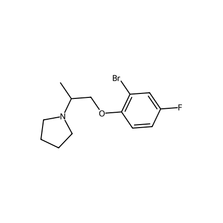 CC(COc1ccc(F)cc1Br)N1CCCC1